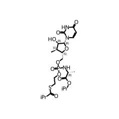 CC(C)OC(=O)[C@@H](C)NP(=O)(OCCSC(=O)C(C)C)OC[C@H]1O[C@@H](n2ccc(=O)[nH]c2=O)[C@H](O)[C@@H]1C